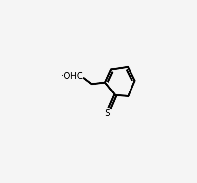 O=[C]CC1=CC=CCC1=S